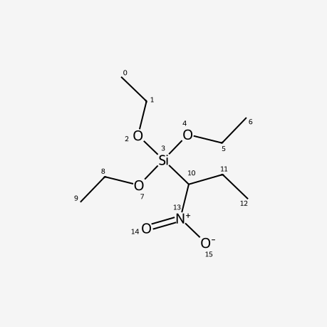 CCO[Si](OCC)(OCC)C(CC)[N+](=O)[O-]